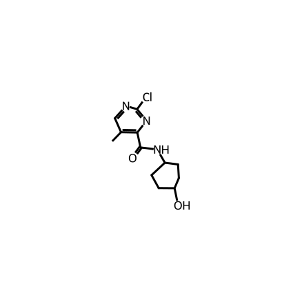 Cc1cnc(Cl)nc1C(=O)NC1CCC(O)CC1